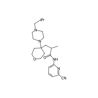 CC(C)CN1CCN(C2(CC(C)C(=O)Nc3cccc(C#N)n3)CCOCC2)CC1